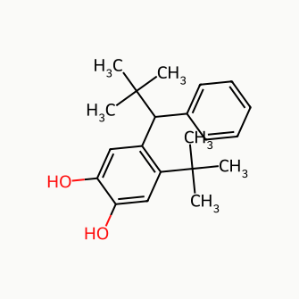 CC(C)(C)c1cc(O)c(O)cc1C(c1ccccc1)C(C)(C)C